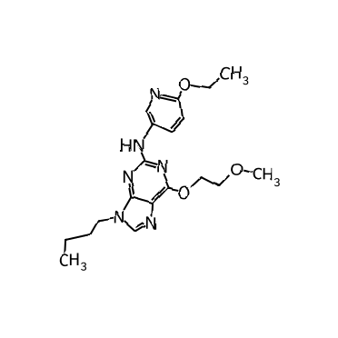 CCCCn1cnc2c(OCCOC)nc(Nc3ccc(OCC)nc3)nc21